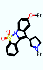 CCOc1ccc2c(c1)c([C@H]1CCN(CC)C1)c1n2S(=O)(=O)c2ccccc2-1